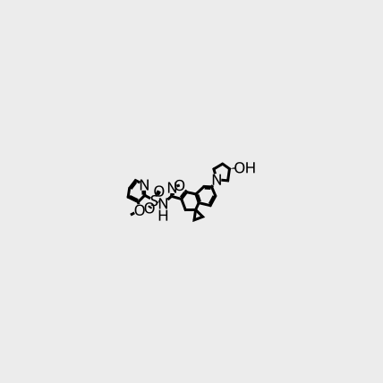 COc1cccnc1S(=O)(=O)Nc1noc2c1CC1(CC1)c1ccc(N3CC[C@H](O)C3)cc1-2